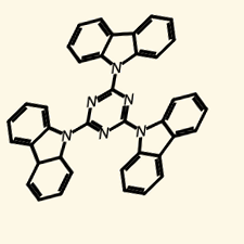 C1=CC2c3ccccc3N(c3nc(-n4c5ccccc5c5ccccc54)nc(-n4c5ccccc5c5ccccc54)n3)C2C=C1